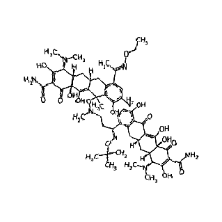 CCO/N=C(\C)c1cc(N)c(O)c2c1C[C@H]1C[C@H]3[C@H](N(C)C)C(O)=C(C(N)=O)C(=O)[C@@]3(O)C(O)=C1C2(C)ON(C)CC/C(=N\OC(C)(C)C)c1ccc(O)c2c1C[C@H]1C[C@H]3[C@H](N(C)C)C(O)=C(C(N)=O)C(=O)[C@@]3(O)C(O)=C1C2=O